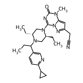 CCC(c1ccc(C2CC2)nc1)N1C[C@H](CC)N(c2nc(=O)n(C)c3cc(CC#N)nn23)C[C@H]1CC